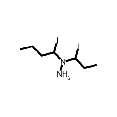 CCCC(I)N(N)C(I)CC